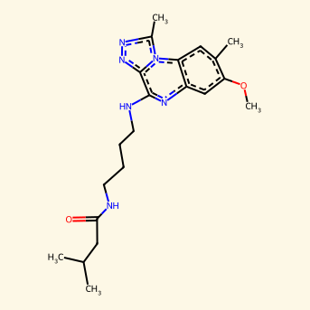 COc1cc2nc(NCCCCNC(=O)CC(C)C)c3nnc(C)n3c2cc1C